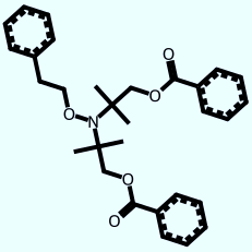 CC(C)(COC(=O)c1ccccc1)N(OCCc1ccccc1)C(C)(C)COC(=O)c1ccccc1